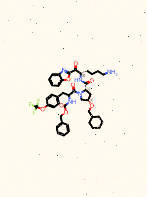 NCCCC[C@H](NC(=O)[C@@H]1C[C@@H](OCC2CCCCC2)CN1C(=O)C(Cc1ccc(OC(F)(F)F)cc1)NC(=O)OCc1ccccc1)C(=O)c1nc2ccccc2o1